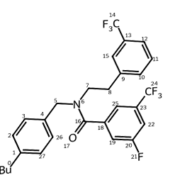 CC(C)(C)c1ccc(CN(CCc2cccc(C(F)(F)F)c2)C(=O)c2cc(F)cc(C(F)(F)F)c2)cc1